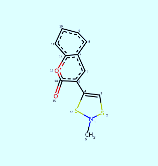 CN1SC=C(c2cc3ccccc3oc2=O)S1